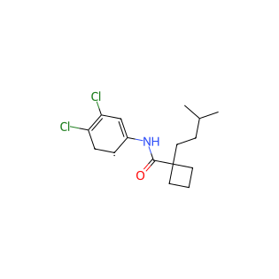 CC(C)CCC1(C(=O)NC2=CC(Cl)=C(Cl)C[CH]2)CCC1